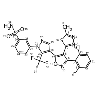 Cc1nnc(-c2c(-c3c(F)cccc3Cl)noc2-c2cnn(-c3cccc(S(N)(=O)=O)c3)c2C(F)(F)F)s1